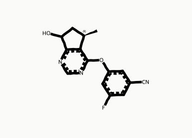 C[C@@H]1CC(O)c2ncnc(Oc3cc(F)cc(C#N)c3)c21